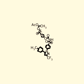 CC(=O)OC(C)ON=[N+]([O-])N1CC(OC(=O)NS(=O)(=O)c2ccc(-n3nc(C(F)(F)F)cc3-c3ccc(C)cc3)cc2)C1